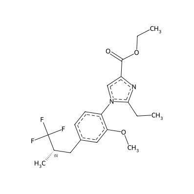 CCOC(=O)c1cn(-c2ccc(C[C@H](C)C(F)(F)F)cc2OC)c(CC)n1